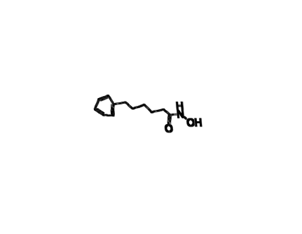 O=C(CCCCCc1ccccc1)NO